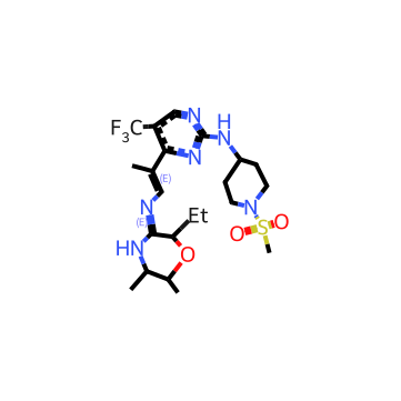 CCC1OC(C)C(C)N/C1=N/C=C(\C)c1nc(NC2CCN(S(C)(=O)=O)CC2)ncc1C(F)(F)F